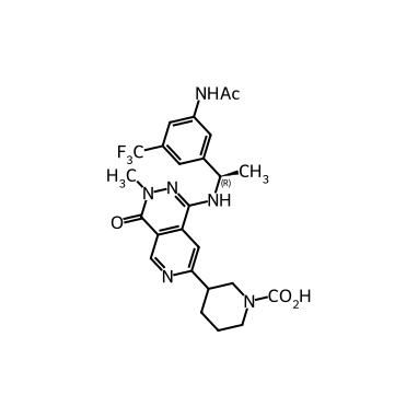 CC(=O)Nc1cc([C@@H](C)Nc2nn(C)c(=O)c3cnc(C4CCCN(C(=O)O)C4)cc23)cc(C(F)(F)F)c1